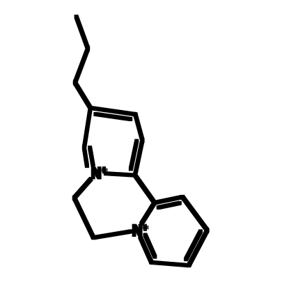 CCCc1ccc2[n+](c1)CC[n+]1ccccc1-2